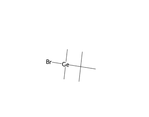 C[C](C)(C)[Ge]([CH3])([CH3])[Br]